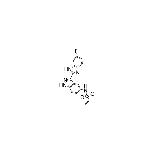 C=CS(=O)(=O)Nc1ccc2[nH]nc(-c3nc4ccc(F)cc4[nH]3)c2c1